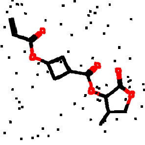 C=CC(=O)OC1CC(C(=O)OC2C(=O)OCC2C)C1